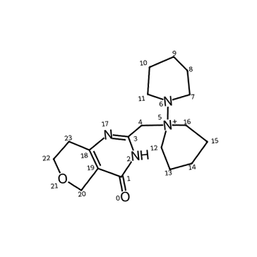 O=c1[nH]c(C[N+]2(N3CCCCC3)CCCCC2)nc2c1COCC2